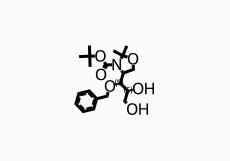 CC(C)(C)OC(=O)N1C([C@H](OCc2ccccc2)[C@@H](O)CO)COC1(C)C